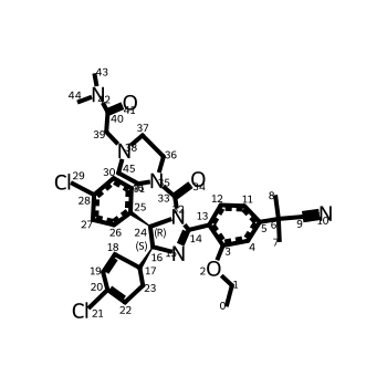 CCOc1cc(C(C)(C)C#N)ccc1C1=N[C@@H](C2C=CC(Cl)=CC2)[C@@H](c2ccc(Cl)cc2)N1C(=O)N1CCN(CC(=O)N(C)C)CC1